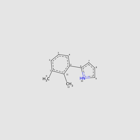 Cc1cccc(-c2ccc[nH]2)c1C